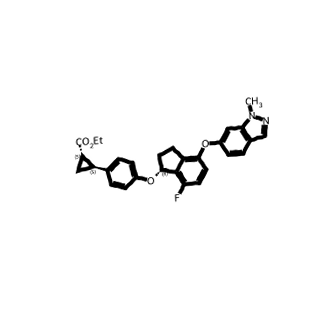 CCOC(=O)[C@H]1C[C@@H]1c1ccc(O[C@@H]2CCc3c(Oc4ccc5cnn(C)c5c4)ccc(F)c32)cc1